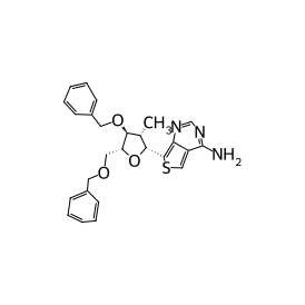 C[C@H]1[C@H](OCc2ccccc2)[C@@H](COCc2ccccc2)O[C@H]1c1scc2c(N)ncnc12